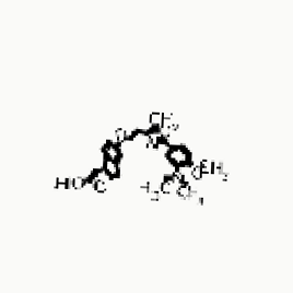 CCN(CC)c1cc(-c2nc(CCOc3ccc4c(c3)CC[C@H]4CC(=O)O)c(C)o2)ccc1OC